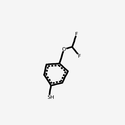 FC(F)Oc1ccc(S)cc1